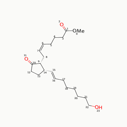 COC(=O)CCC/C=C\C[C@H]1C(=O)CC[C@H]1C=CCCCCCCO